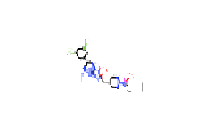 CC(=O)N1CCC(CC(=O)Nc2ncc(-c3cc(F)cc(F)c3)cn2)CC1